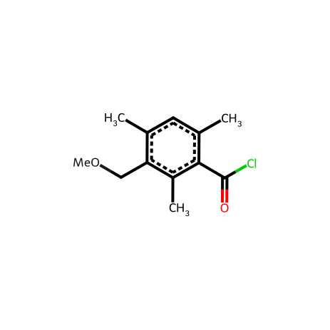 COCc1c(C)cc(C)c(C(=O)Cl)c1C